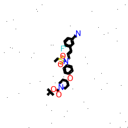 CCS(=O)(=O)N(CC=Cc1cc(C#N)ccc1F)c1ccc(OC2CCN(C(=O)OC(C)(C)C)CC2)cc1